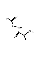 CC(C)C(=O)NNC(=O)[C@H](C)N